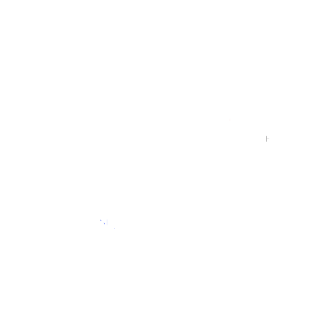 Nc1cccc(CCCc2ccc(OC(F)C(F)(F)F)cc2)c1